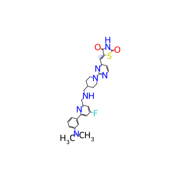 CN(C)c1cccc(-c2cc(F)cc(CNCC3CCN(c4nccc(/C=C5\SC(=O)NC5=O)n4)CC3)n2)c1